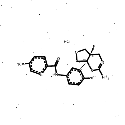 Cl.N#Cc1ccc(C(=O)Nc2ccc(F)c([C@]34COC[C@]3(F)CN=C(N)S4)c2)nc1